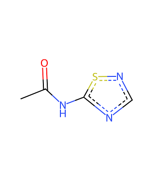 CC(=O)Nc1ncns1